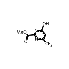 COC(=O)c1nc(O)cc(C(F)(F)F)n1